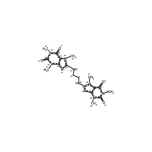 Cn1c(=O)c2c(nc(NCCNc3nc4c(c(=O)n(C)c(=O)n4C)n3C)n2C)n(C)c1=O